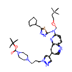 CC(C)(C)OC(=O)N1CCN(CCCn2cc(-c3cnc4ccc(N(COCC[Si](C)(C)C)c5nnc(C6CCCC6)s5)nc4c3)cn2)CC1